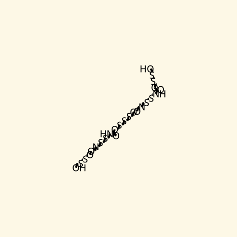 O=C(NCSCSC/N=C/OOCSCSCSCOC(=O)NCSCSC/N=C/OOCSCSCO)OCSCSCO